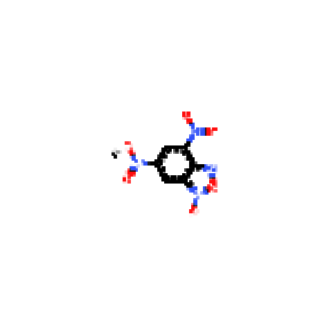 O=[N+]([O-])c1cc([N+](=O)[O-])c2no[n+]([O-])c2c1.[K+]